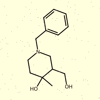 CC1(O)CCN(Cc2ccccc2)CC1CO